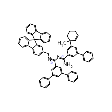 CC1(c2cc(/C(N)=N/C(=N\Cc3ccc4c(c3)C3(c5ccccc5-c5ccccc53)c3ccccc3-4)c3cc(-c4ccccc4)cc(-c4ccccc4)c3)cc(-c3ccccc3)c2)C=CC=CC1